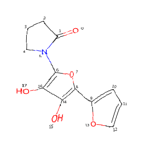 O=C1CCCN1c1oc(-c2ccco2)c(O)c1O